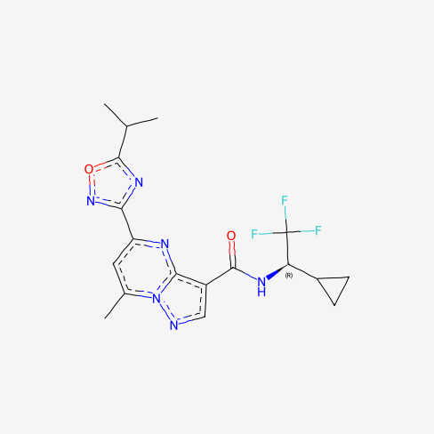 Cc1cc(-c2noc(C(C)C)n2)nc2c(C(=O)N[C@H](C3CC3)C(F)(F)F)cnn12